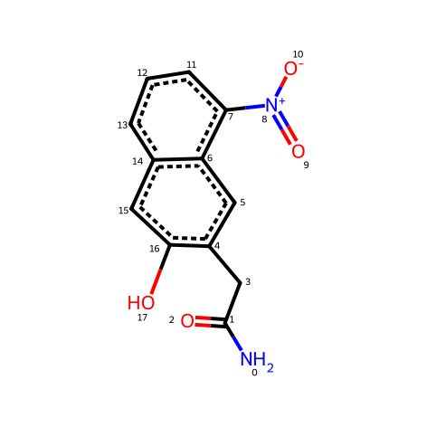 NC(=O)Cc1cc2c([N+](=O)[O-])cccc2cc1O